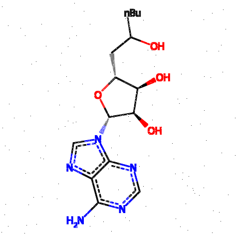 CCCCC(O)C[C@H]1O[C@@H](n2cnc3c(N)ncnc32)[C@H](O)[C@@H]1O